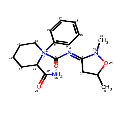 CC1CC(=NC(=O)[N+]2(c3ccccc3)CCCCC2C(N)=O)N(C)O1